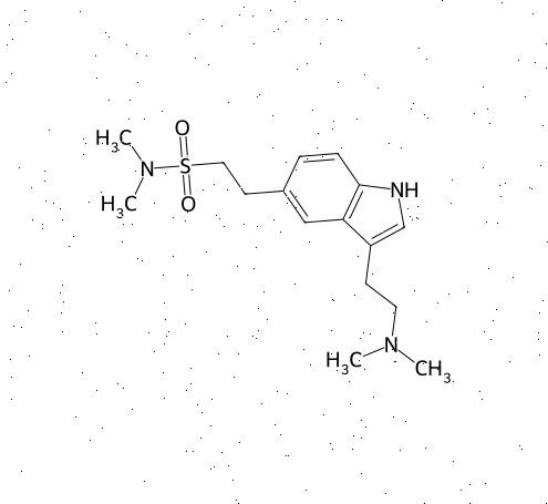 CN(C)CCc1c[nH]c2ccc(CCS(=O)(=O)N(C)C)cc12